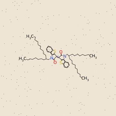 CCCCCCCCCCC(CCCCCCCC)CN1C(=O)/C(=C2/C(=O)N(CC(CCCCCCCC)CCCCCCCCCC)c3c2sc2ccccc32)c2sc3ccccc3c21